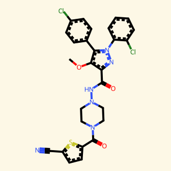 COc1c(C(=O)NN2CCN(C(=O)c3ccc(C#N)s3)CC2)nn(-c2ccccc2Cl)c1-c1ccc(Cl)cc1